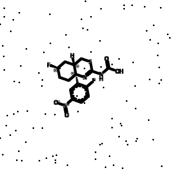 O=C(O)NC1=N[C@@]2(c3cc([N+](=O)[O-])ccc3F)CC[C@@H](F)C[C@@H]2CS1